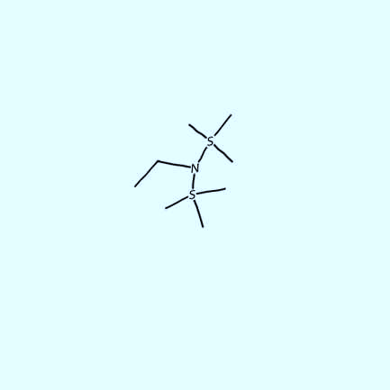 CCN(S(C)(C)C)S(C)(C)C